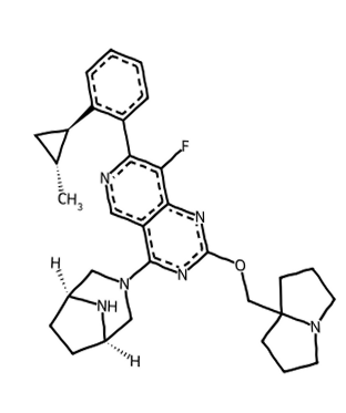 C[C@@H]1C[C@H]1c1ccccc1-c1ncc2c(N3C[C@H]4CC[C@@H](C3)N4)nc(OCC34CCCN3CCC4)nc2c1F